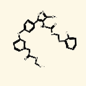 CCOC(=O)Cc1cccc(Sc2ccc(-c3onc(C)c3NC(=O)OCCc3ccccc3F)cc2)c1